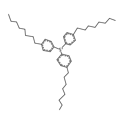 CCCCCCCCc1ccc([S+](c2ccc(CCCCCCCC)cc2)c2ccc(CCCCCCCC)cc2)cc1